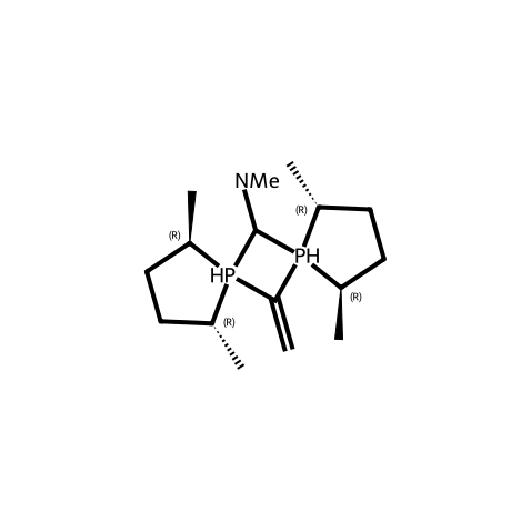 C=C1[PH]2(C(NC)[PH]13[C@H](C)CC[C@H]3C)[C@H](C)CC[C@H]2C